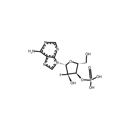 Nc1ncnc2c1ncn2[C@@H]1O[C@H](CO)[C@@H](OP(=O)(O)O)[C@]1(O)F